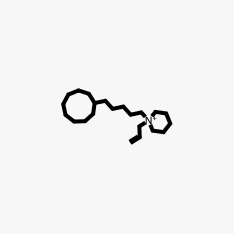 C=CC[N+]1(CCCCCC2CCCCCCCC2)CCCCC1